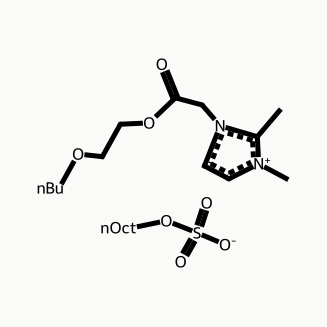 CCCCCCCCOS(=O)(=O)[O-].CCCCOCCOC(=O)Cn1cc[n+](C)c1C